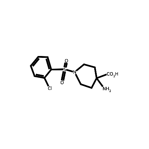 NC1(C(=O)O)CCN(S(=O)(=O)c2ccccc2Cl)CC1